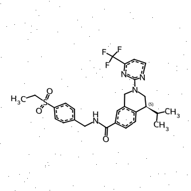 CCS(=O)(=O)c1ccc(CNC(=O)c2ccc3c(c2)CN(c2nccc(C(F)(F)F)n2)C[C@H]3C(C)C)cc1